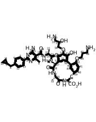 Cc1nc(-c2ccc(CC3CC3)cc2)nc(N)c1C(=O)N[C@@H](C)C(=O)N(C)[C@@H]1C(=O)N[C@@H](C)C(=O)N[C@H](C(=O)O)Cc2ccc(OCCCN)c(c2)-c2cc1cc(OC[C@H](O)CN)c2O